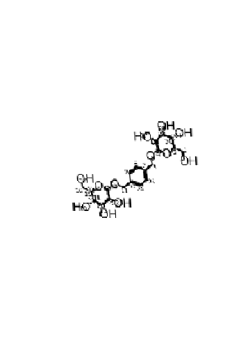 OC[C@H]1O[C@@H](OCc2ccc(CO[C@@H]3O[C@H](CO)[C@@H](O)[C@H](O)[C@@H]3O)cc2)[C@@H](O)[C@@H](O)[C@@H]1O